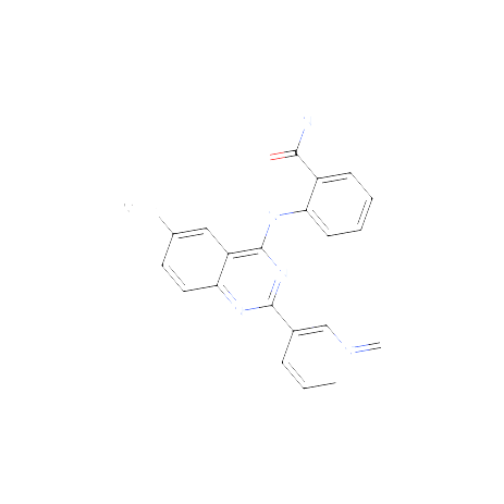 C=N/C=C(\C=C/C)c1nc(Nc2ccccc2C(N)=O)c2cc(OC)ccc2n1